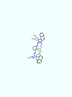 CCCCC1(CCCC)/C(=C/C=C2\CCCC(/C=C/C(=N\CCC)C(CCCC)(CCCC)c3c(C)ccc4ccccc34)=C2Cl)N(CCC)c2ccc3ccccc3c21